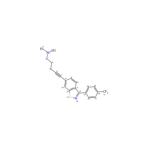 [CH2][CH]N(CC)CCCC#Cc1ccc2c(-c3ccc(C(F)(F)F)cc3)nsc2c1